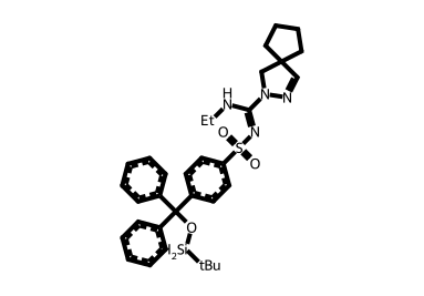 CCNC(=NS(=O)(=O)c1ccc(C(O[SiH2]C(C)(C)C)(c2ccccc2)c2ccccc2)cc1)N1CC2(C=N1)CCCC2